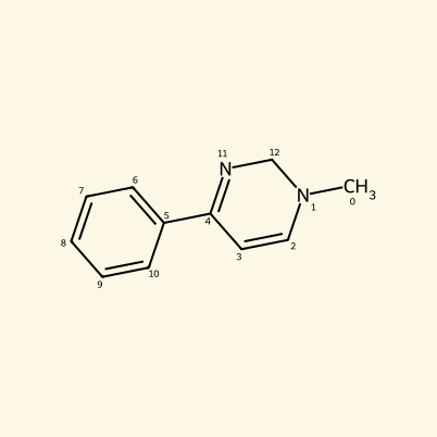 CN1C=CC(c2ccccc2)=NC1